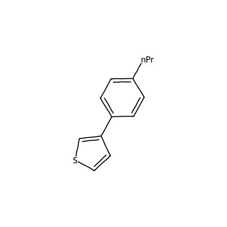 CCCc1ccc(-c2ccsc2)cc1